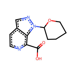 O=C(O)c1nccc2cnn(C3CCCCO3)c12